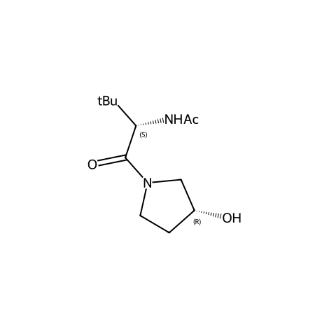 CC(=O)N[C@H](C(=O)N1CC[C@@H](O)C1)C(C)(C)C